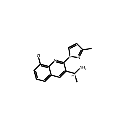 Cc1ccn(-c2nc3c(Cl)cccc3cc2[C@H](C)N)n1